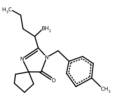 BC(CCC)C1=NC2(CCCC2)C(=O)N1Cc1ccc(C)cc1